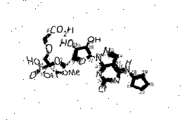 COC[C@](COCC(=O)O)(OC[C@H]1O[C@@H](n2ncc3c(NC4CCCC4)nc(Cl)nc32)[C@H](O)[C@@H]1O)P(=O)(O)O